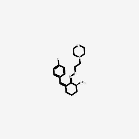 C[C@H]1CCCC(=Cc2ccc(F)cc2)C1=NOCCN1CCOCC1